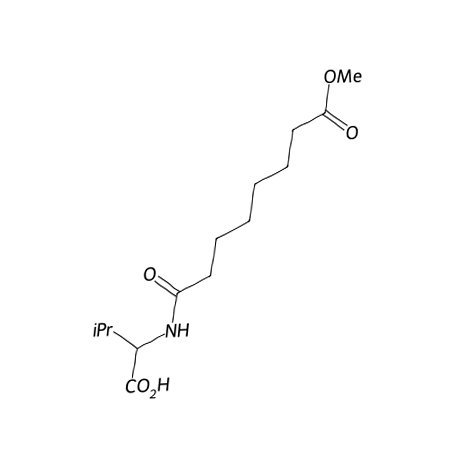 COC(=O)CCCCCCC(=O)NC(C(=O)O)C(C)C